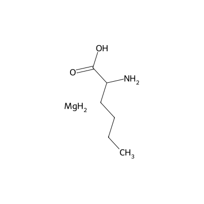 CCCCC(N)C(=O)O.[MgH2]